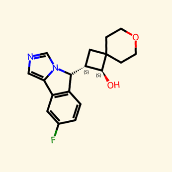 O[C@H]1[C@H](C2c3ccc(F)cc3-c3cncn32)CC12CCOCC2